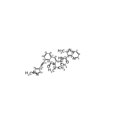 Cc1nn2cccnc2c1C(=O)N[C@H](C)c1cc2cccc(C#Cc3cnn(C)c3)c2c(=O)n1C(C)C